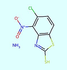 N.O=[N+]([O-])c1c(Cl)ccc2sc(S)nc12